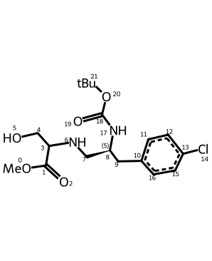 COC(=O)C(CO)NC[C@H](Cc1ccc(Cl)cc1)NC(=O)OC(C)(C)C